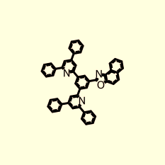 c1ccc(-c2cc(-c3ccccc3)nc(-c3cc(-c4cc(-c5ccccc5)cc(-c5ccccc5)n4)cc(-c4nc5c(ccc6ccccc65)o4)c3)c2)cc1